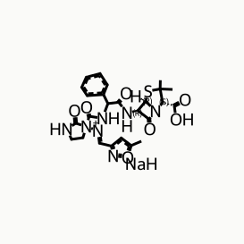 Cc1cc(C=N[N+]2(C(=O)NC(C(=O)N[C@@H]3C(=O)N4[C@@H]3SC(C)(C)[C@@H]4C(=O)O)c3ccccc3)CCNC2=O)no1.[NaH]